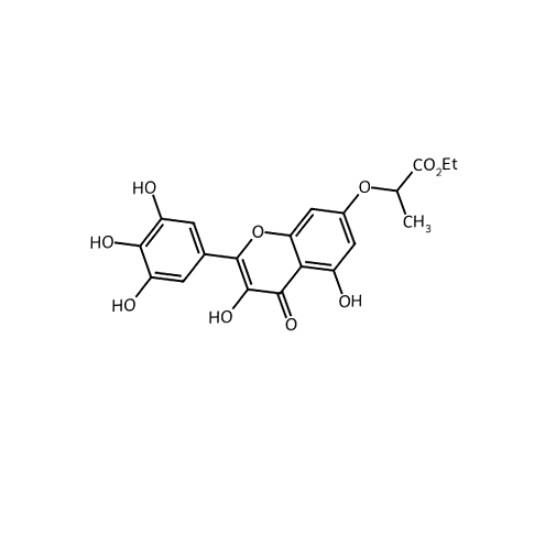 CCOC(=O)C(C)Oc1cc(O)c2c(=O)c(O)c(-c3cc(O)c(O)c(O)c3)oc2c1